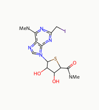 CNC(=O)C1SC(n2cnc3c(NC)nc(CI)nc32)C(O)C1O